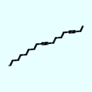 [CH2]CCCCCCCC#CCCCCC#CCC